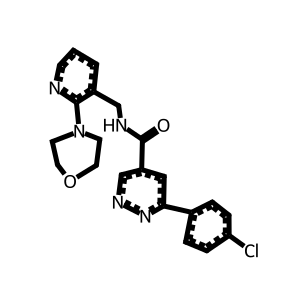 O=C(NCc1cccnc1N1CCOCC1)c1cnnc(-c2ccc(Cl)cc2)c1